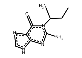 CCC(N)n1c(N)nc2[nH]cnc2c1=O